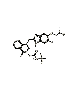 CS(=O)(=O)NC(=O)Cn1nc(Cc2nc3cc(OCC(F)F)c(F)cc3[nH]2)c2ccccc2c1=O